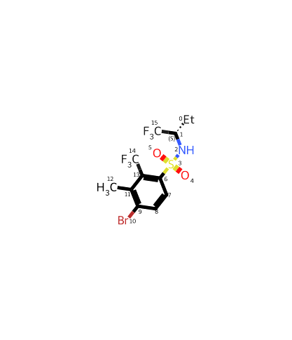 CC[C@H](NS(=O)(=O)c1ccc(Br)c(C)c1C(F)(F)F)C(F)(F)F